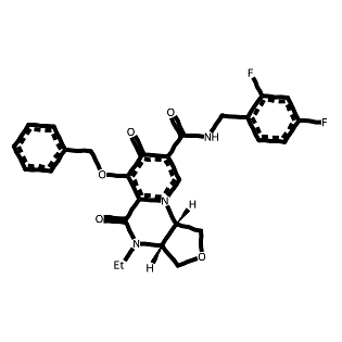 CCN1C(=O)c2c(OCc3ccccc3)c(=O)c(C(=O)NCc3ccc(F)cc3F)cn2[C@@H]2COC[C@@H]21